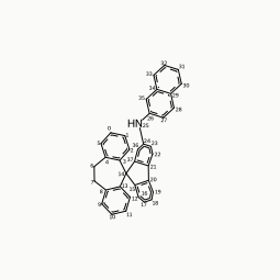 c1ccc2c(c1)CCc1ccccc1C21c2ccccc2-c2ccc(Nc3ccc4ccccc4c3)cc21